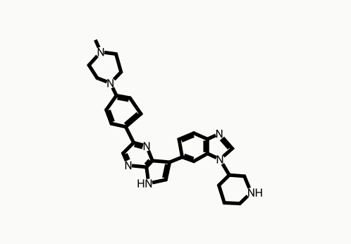 CN1CCN(c2ccc(-c3cnc4[nH]cc(-c5ccc6ncn(C7CCCNC7)c6c5)c4n3)cc2)CC1